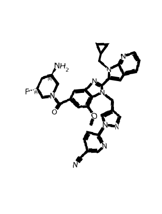 COc1cc(C(=O)N2C[C@H](N)C[C@@H](F)C2)cc2nc(-c3cc4cccnc4n3CC3CC3)n(Cc3cnn(-c4ccc(C#N)cn4)c3)c12